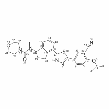 CC(C)Oc1ccc(-c2nnc(-c3cccc4c3CCC4NC(=O)N3CCOCC3)s2)cc1C#N